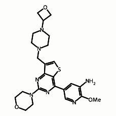 COc1ncc(-c2nc(N3CCOCC3)nc3c(CN4CCN(C5COC5)CC4)csc23)cc1N